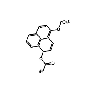 CCCCCCCCOc1ccc2cccc3c2c1C=CC3OC(=O)C(C)C